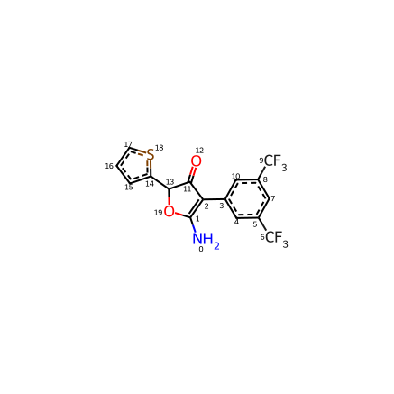 NC1=C(c2cc(C(F)(F)F)cc(C(F)(F)F)c2)C(=O)C(c2cccs2)O1